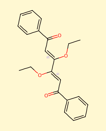 CCOC(=C\C(=O)c1ccccc1)/C(=C/C(=O)c1ccccc1)OCC